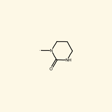 [CH2]N1CCCNC1=O